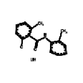 Cc1ccccc1PC(=O)c1c(C)cccc1Cl.[LiH]